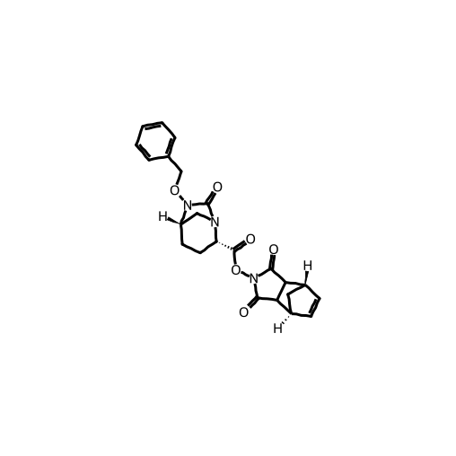 O=C(ON1C(=O)C2C(C1=O)[C@@H]1C=C[C@@H]2C1)[C@@H]1CC[C@H]2CN1C(=O)N2OCc1ccccc1